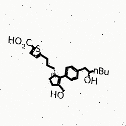 CCCCC(O)Cc1ccc(C2=C(CO)CC[C@@H]2CCCc2ccc(C(=O)O)s2)cc1